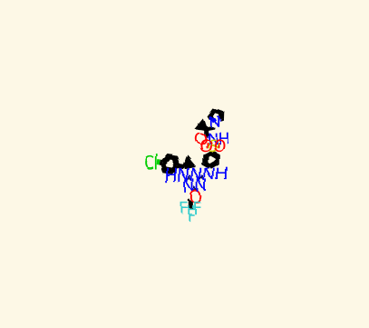 O=C(NS(=O)(=O)c1ccc(Nc2nc(NC3(c4ccc(Cl)cc4)CC3)nc(OCC(F)(F)F)n2)cc1)C1(CN2CCCC2)CC1